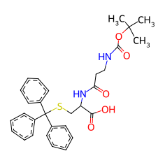 CC(C)(C)OC(=O)NCCC(=O)NC(CSC(c1ccccc1)(c1ccccc1)c1ccccc1)C(=O)O